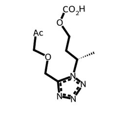 CC(=O)COCc1nnnn1[C@@H](C)CCOC(=O)O